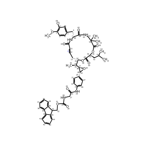 COc1ccc(C[C@H]2NC(=O)/C=C/C[C@@H]([C@H](C)[C@H]3O[C@@H]3c3ccc(NC(=O)CNC(=O)OCC4c5ccccc5-c5ccccc54)cc3)OC(=O)[C@H](CC(C)C)OC(=O)C(C)(C)CNC2=O)cc1Cl